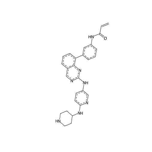 C=CC(=O)Nc1cccc(-c2cccc3cnc(Nc4ccc(NC5CCNCC5)nc4)nc23)c1